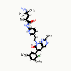 CNc1ncc2cc(-c3cc(OC)cc(OC)c3Cl)c(=O)n(CCc3ccc(NC(=O)/C(C#N)=C/C(C)(C)N)nc3)c2n1